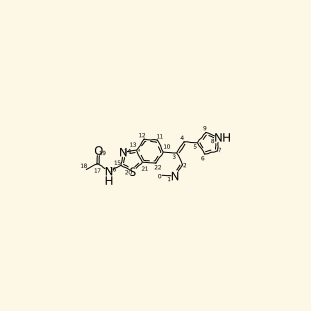 C/N=C\C(=C/c1cc[nH]c1)c1ccc2nc(NC(C)=O)sc2c1